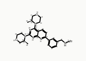 CC(C)NCc1cccc(-c2ccc3c(N4CCOC[C@@H]4C)nc(N4CCOC[C@@H]4C)nc3n2)c1